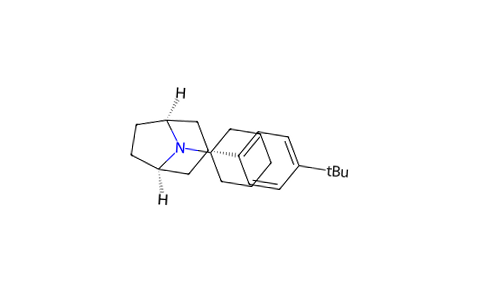 CC(C)(C)c1ccc([C@@H]2C[C@H]3CC[C@@H](C2)N3C2CCCCC2)cc1